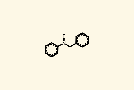 FN(Cc1ccccc1)c1ccccc1